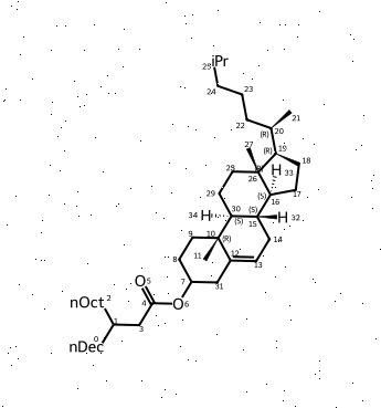 CCCCCCCCCCC(CCCCCCCC)CC(=O)OC1CC[C@@]2(C)C(=CC[C@H]3[C@@H]4CC[C@H]([C@H](C)CCCC(C)C)[C@@]4(C)CC[C@@H]32)C1